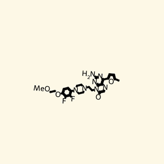 COCCOc1ccc(N2CCN(CCn3c(=O)cnc4c(-c5ccc(C)o5)nc(N)nc43)CC2)c(F)c1F